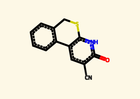 N#Cc1cc2c([nH]c1=O)SCc1ccccc1-2